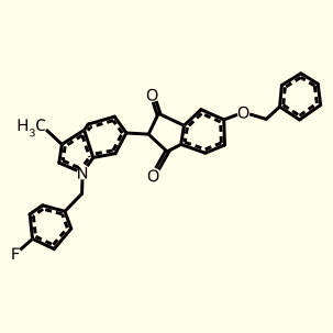 Cc1cn(Cc2ccc(F)cc2)c2cc(C3C(=O)c4ccc(OCc5ccccc5)cc4C3=O)ccc12